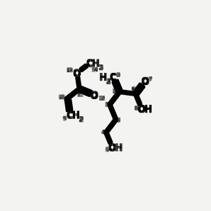 C=C(CCCO)C(=O)O.C=CC(=O)OC